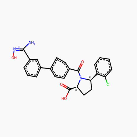 N/C(=N/O)c1cccc(-c2ccc(C(=O)N3[C@@H](c4ccccc4Cl)CC[C@H]3C(=O)O)cc2)c1